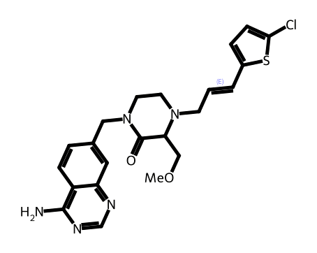 COCC1C(=O)N(Cc2ccc3c(N)ncnc3c2)CCN1C/C=C/c1ccc(Cl)s1